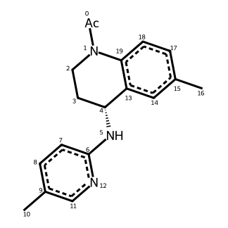 CC(=O)N1CC[C@@H](Nc2ccc(C)cn2)c2cc(C)ccc21